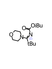 CC(C)COC(=O)/N=C(\N1CCOCC1)C(C)(C)C